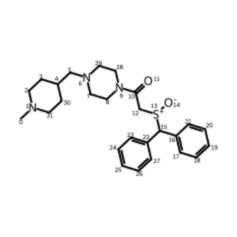 CN1CCC(CN2CCN(C(=O)C[S+]([O-])C(c3ccccc3)c3ccccc3)CC2)CC1